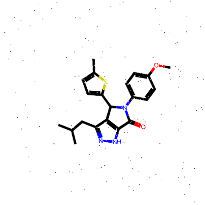 COc1ccc(N2C(=O)c3[nH]nc(CC(C)C)c3C2c2ccc(C)s2)cc1